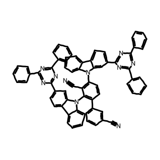 N#Cc1cccc(-c2ccc(-n3c4ccccc4c4ccc(-c5nc(-c6ccccc6)nc(-c6ccccc6)n5)cc43)c(C#N)c2-n2c3ccccc3c3ccc(-c4nc(-c5ccccc5)nc(-c5ccccc5)n4)cc32)c1